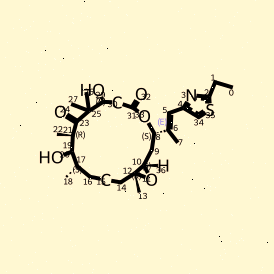 CCc1nc(/C=C(\C)[C@@H]2C[C@@H]3O[C@]3(C)CCC[C@H](C)C(O)[C@@H](C)C(=O)C(C)(C)[C@@H](O)CC(=O)O2)cs1